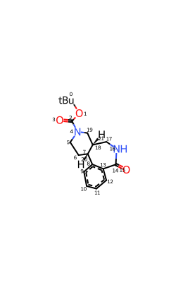 CC(C)(C)OC(=O)N1CC[C@H]2c3ccccc3C(=O)NC[C@H]2C1